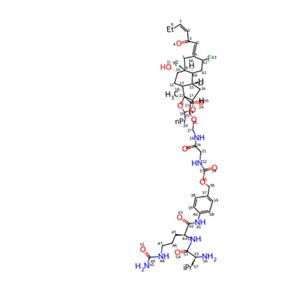 CC/C=C\C(=O)/C=C1\C[C@@]2(F)[C@@H](O)C[C@@]3(C)[C@@H](C[C@H]4OC(CCC)OC43C(=O)COCNC(=O)CNC(=O)OCc3ccc(NC(=O)[C@H](CCCNC(N)=O)NC(=O)[C@@H](N)C(C)C)cc3)[C@@H]2C[C@@H]1F